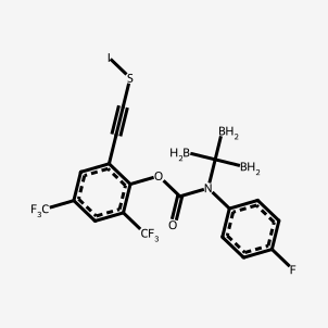 BC(B)(B)N(C(=O)Oc1c(C#CSI)cc(C(F)(F)F)cc1C(F)(F)F)c1ccc(F)cc1